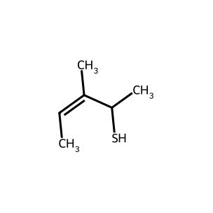 CC=C(C)C(C)S